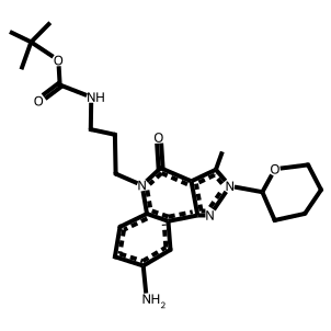 Cc1c2c(=O)n(CCCNC(=O)OC(C)(C)C)c3ccc(N)cc3c2nn1C1CCCCO1